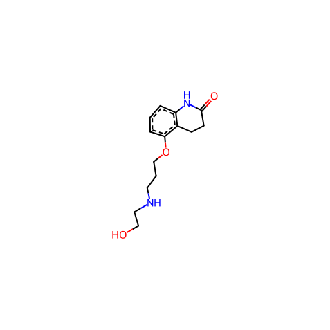 O=C1CCc2c(cccc2OCCCNCCO)N1